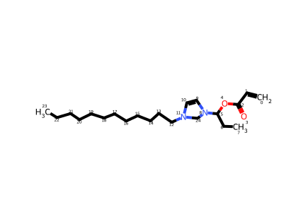 C=CC(=O)OC(CC)N1C=CN(CCCCCCCCCCCC)C1